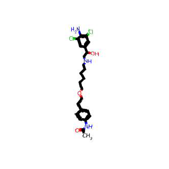 CC(=O)Nc1ccc(CCOCCCCCCNCC(O)c2cc(Cl)c(N)c(Cl)c2)cc1